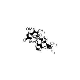 COc1ncnc(OC)c1-n1c(NS(=O)(=O)C(C)C(OC)c2ncc(Cl)cn2)nnc1[C@@H]1CC1(C)C